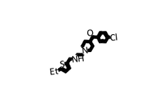 CCc1ccc(CNCCN2CCC(C(=O)c3ccc(Cl)cc3)CC2)s1